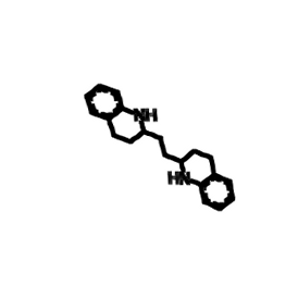 c1ccc2c(c1)CCC(CCC1CCc3ccccc3N1)N2